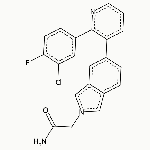 NC(=O)Cn1cc2ccc(-c3cccnc3-c3ccc(F)c(Cl)c3)cc2c1